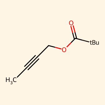 CC#CCOC(=O)C(C)(C)C